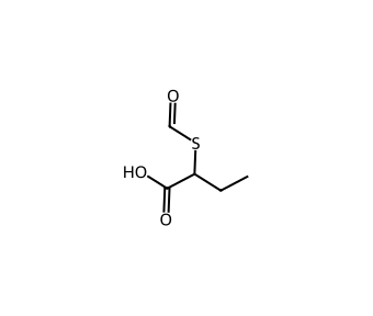 CCC(SC=O)C(=O)O